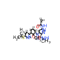 CNC(=O)c1nnc(NC(=O)C2CC2)cc1Nc1cccc(-c2ccc(SC(C)C)nn2)c1OC